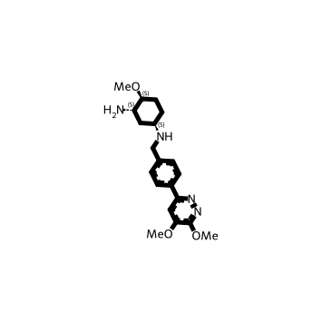 COc1cc(-c2ccc(CN[C@H]3CC[C@H](OC)[C@@H](N)C3)cc2)nnc1OC